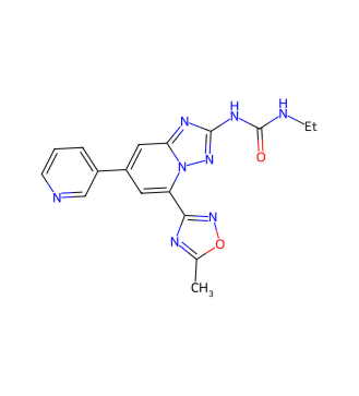 CCNC(=O)Nc1nc2cc(-c3cccnc3)cc(-c3noc(C)n3)n2n1